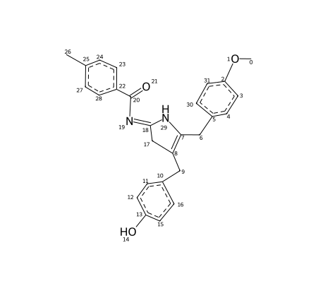 COc1ccc(CC2=C(Cc3ccc(O)cc3)C/C(=N/C(=O)c3ccc(C)cc3)N2)cc1